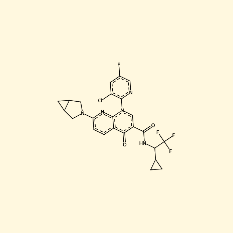 O=C(NC(C1CC1)C(F)(F)F)c1cn(-c2ncc(F)cc2Cl)c2nc(N3CC4CC4C3)ccc2c1=O